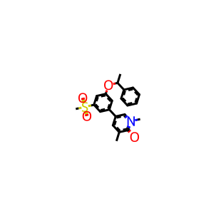 Cc1cc(-c2cc(OC(C)c3ccccc3)cc(S(C)(=O)=O)c2)cn(C)c1=O